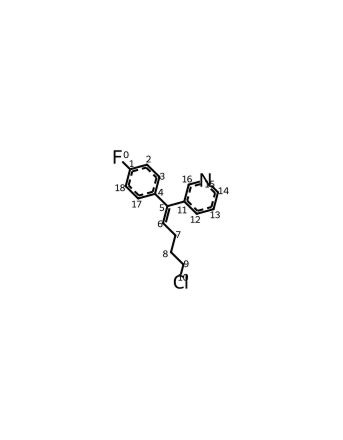 Fc1ccc(C(=CCCCCl)c2cccnc2)cc1